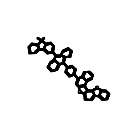 CC1(C)c2ccccc2-c2cc(-c3c4ccccc4c(-c4ccc(-c5cc6oc7ccc8c9ccccc9oc8c7c6c6ccccc56)cc4)c4ccccc34)ccc21